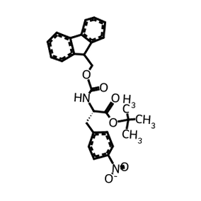 CC(C)(C)OC(=O)[C@H](Cc1ccc([N+](=O)[O-])cc1)NC(=O)OCC1c2ccccc2-c2ccccc21